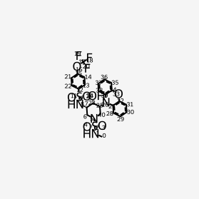 CNS(=O)(=O)N1C[C@@H](NS(=O)(=O)c2ccc(OC(F)(F)F)cc2)[C@H](O)[C@@H](N2c3ccccc3Oc3ccccc32)C1